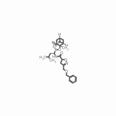 CC(C)C[C@H](NC(=O)C1CC(COCc2ccccc2)=NO1)B1O[C@@H]2C[C@@H]3C[C@@H](C3(C)C)[C@]2(C)O1